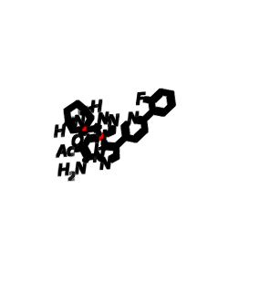 CC(=O)c1c([C@@H]2C[C@H]3CC[C@@H](C2)N3C(=O)c2nnc[nH]2)nc2c(-c3ccc(-c4ccccc4F)nc3)cnn2c1N